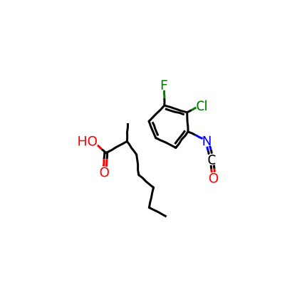 CCCCCC(C)C(=O)O.O=C=Nc1cccc(F)c1Cl